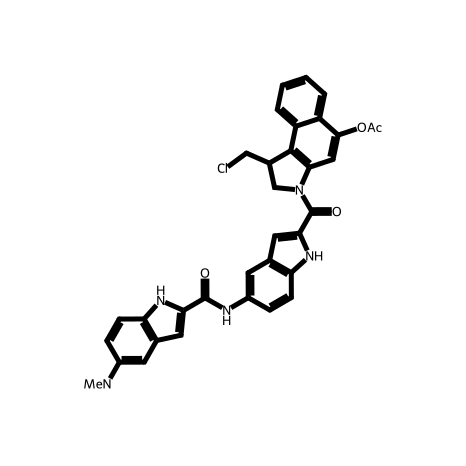 CNc1ccc2[nH]c(C(=O)Nc3ccc4[nH]c(C(=O)N5CC(CCl)c6c5cc(OC(C)=O)c5ccccc65)cc4c3)cc2c1